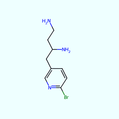 NCCC(N)Cc1ccc(Br)nc1